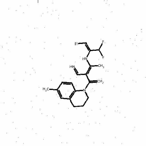 C=C(/C(C=N)=C(\C)N/C(=C\CC)C(F)F)N1CCCc2cc(C)ccc21